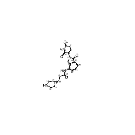 O=C1CCC(N2Cc3c(NC(=O)CCN4CCNCC4)cccc3C2=O)C(=O)N1